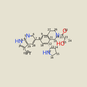 CC(C)c1c[nH]c2ncc(-c3cc4c(c([C@@H]5CCCN5)c3)CN(C(=O)[C@H](C)O)CC4)cc12